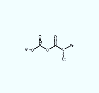 CCN(CC)C(=O)O[PH](=O)OC